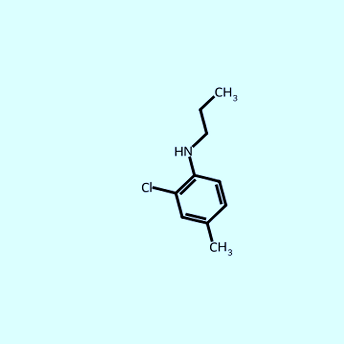 CCCNc1ccc(C)cc1Cl